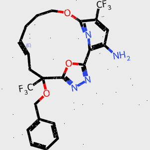 Nc1cc(C(F)(F)F)c2nc1-c1nnc(o1)C(OCc1ccccc1)(C(F)(F)F)C/C=C/CCCO2